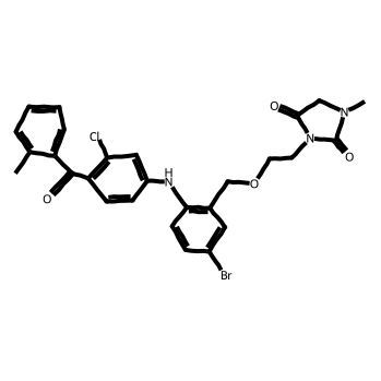 Cc1ccccc1C(=O)c1ccc(Nc2ccc(Br)cc2COCCN2C(=O)CN(C)C2=O)cc1Cl